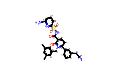 Cc1cc(C)c(Oc2nc(-c3cccc(CC#N)c3)ccc2C(=O)NS(=O)(=O)c2cccc(N)n2)c(C)c1